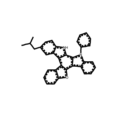 CC(C)Cc1ccc2[nH]c3c(c2c1)c1c2ccccc2oc1c1c2ccccc2n(-c2ccccc2)c31